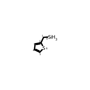 [SiH3]Cc1cccs1